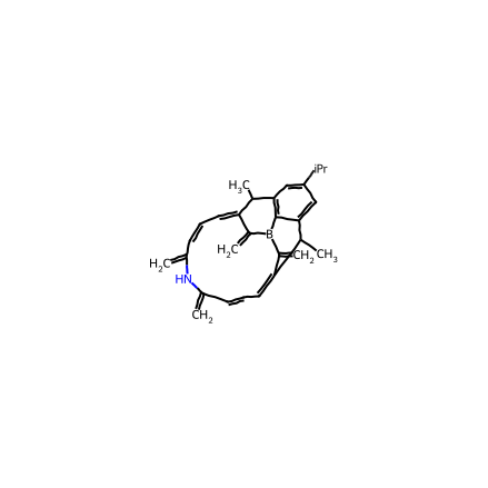 C=C1/C=C\C=C2/C(=C)B3C(=C)/C(=C\C=C/C(=C)N1)C(C)c1cc(C(C)C)cc(c13)C2C